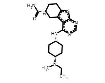 CCN(C)[C@H]1CC[C@H](Nc2ncnc3sc4c(c23)C[C@H](C(N)=O)CC4)CC1